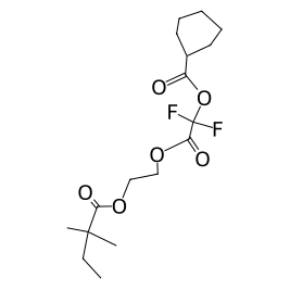 CCC(C)(C)C(=O)OCCOC(=O)C(F)(F)OC(=O)C1CCCCC1